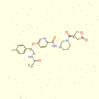 Cc1ccc([C@H](Oc2ccc(C(=O)N[C@H]3CCCN(C(=O)[C@H]4COC(=O)C4)C3)nc2)[C@H](C)NC(=O)C(F)(F)F)cc1